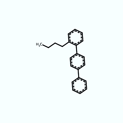 CCCCc1ccccc1-c1ccc(-c2ccccc2)cc1